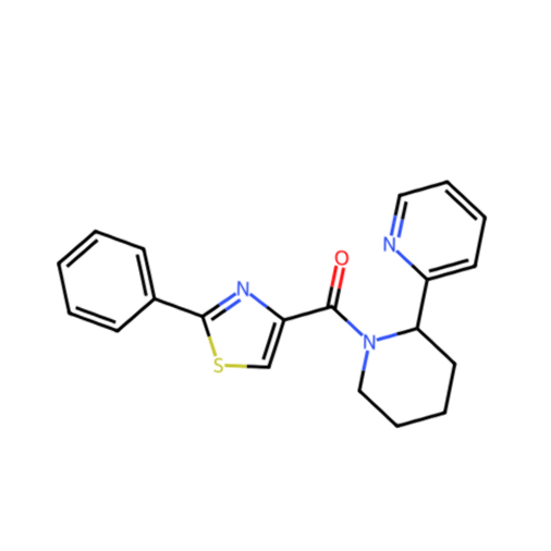 O=C(c1csc(-c2ccccc2)n1)N1CCCCC1c1ccccn1